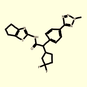 Cn1nnc(-c2ccc(C(C(=O)Nc3nc4c(s3)CCC4)C3CCC(F)(F)C3)cc2)n1